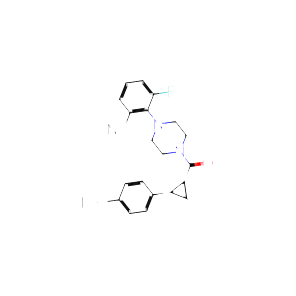 N#Cc1cccc(F)c1N1CCN(C(=O)[C@H]2C[C@H]2c2ccc(C(F)(F)F)cc2)CC1